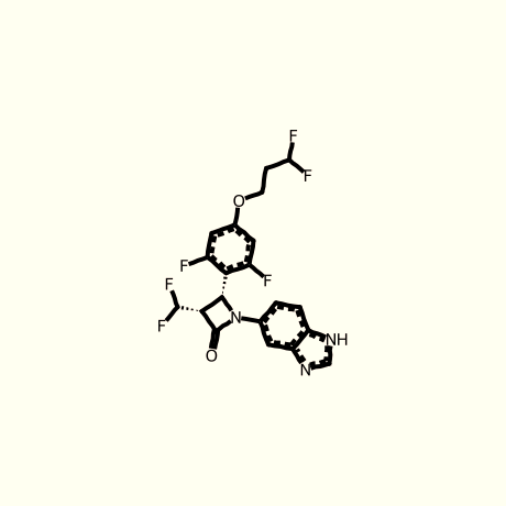 O=C1[C@H](C(F)F)[C@H](c2c(F)cc(OCCC(F)F)cc2F)N1c1ccc2[nH]cnc2c1